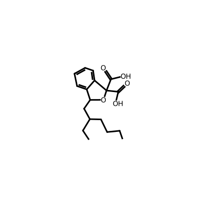 CCCCC(CC)CC1OC(C(=O)O)(C(=O)O)c2ccccc21